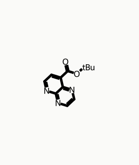 CC(C)(C)OC(=O)c1ccnc2nccnc12